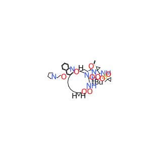 C=C[C@@H]1C[C@]1(NC(=O)[C@@H]1C[C@@H]2CN1C(=O)[C@H](C(C)(C)C)NC(=O)O[C@@H]1C[C@H]1CCCCCc1c(nc3ccccc3c1OCCN1CCCC1)O2)C(=O)NS(=O)(=O)C1(C)CC1